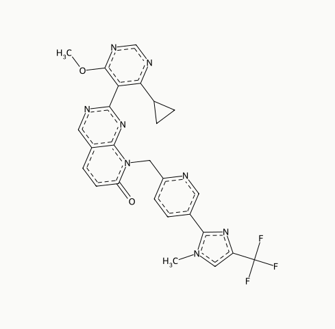 COc1ncnc(C2CC2)c1-c1ncc2ccc(=O)n(Cc3ccc(-c4nc(C(F)(F)F)cn4C)cn3)c2n1